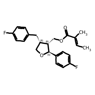 CC=C(C)C(=O)OC[C@H]1[C@@H](Cc2ccc(F)cc2)CO[C@@H]1c1ccc(F)cc1